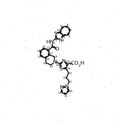 O=C(Nc1nc2ccccc2s1)c1cccc2c1CN(c1nc(C(=O)O)c(CCCn3cccn3)s1)CC2